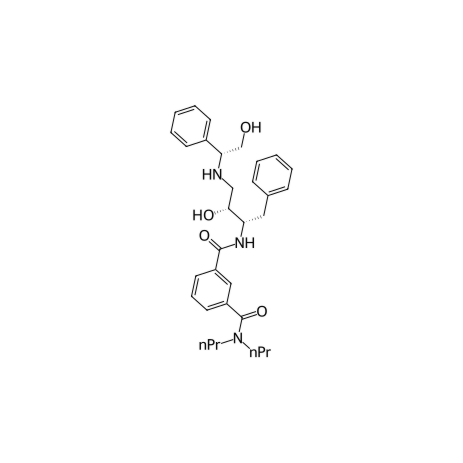 CCCN(CCC)C(=O)c1cccc(C(=O)N[C@@H](Cc2ccccc2)[C@H](O)CN[C@@H](CO)c2ccccc2)c1